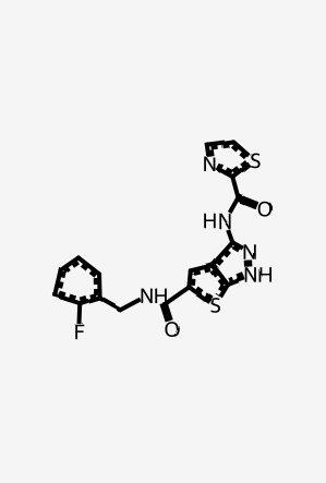 O=C(NCc1ccccc1F)c1cc2c(NC(=O)c3nccs3)n[nH]c2s1